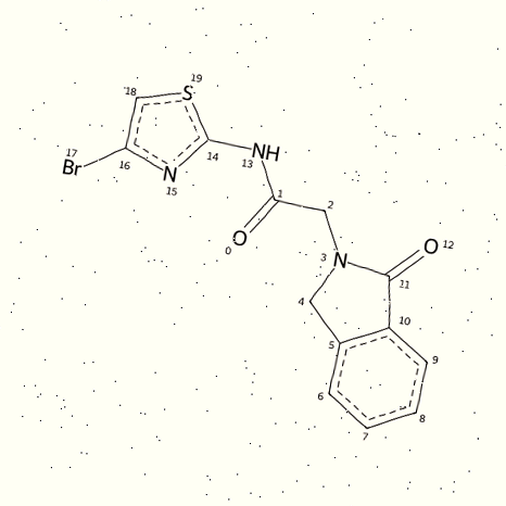 O=C(CN1Cc2ccccc2C1=O)Nc1nc(Br)cs1